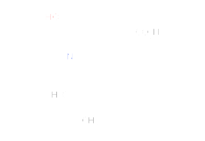 CC1(C)CCc2c(C(=O)O)cc(O)nc21